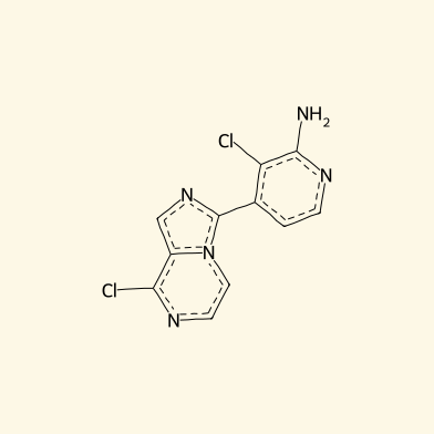 Nc1nccc(-c2ncc3c(Cl)nccn23)c1Cl